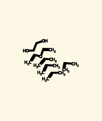 C=CC.C=CC.C=CC.C=CC.C=COC=C.OCCO